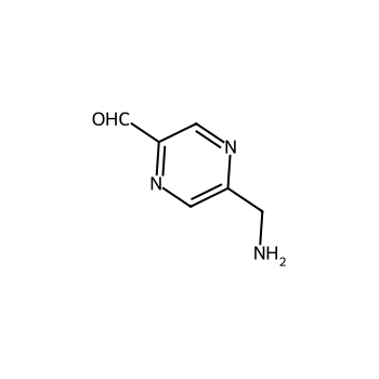 NCc1cnc(C=O)cn1